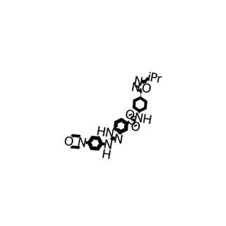 CC(C)c1nnc([C@H]2CC[C@H](NS(=O)(=O)c3ccc4[nH]c(Nc5ccc(N6CCOCC6)cc5)nc4c3)CC2)o1